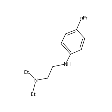 CCCc1ccc(NCCN(CC)CC)cc1